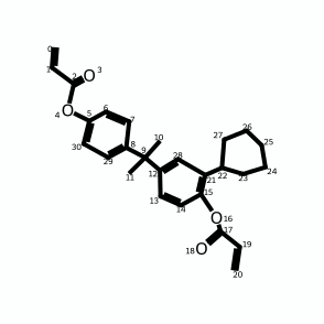 C=CC(=O)Oc1ccc(C(C)(C)c2ccc(OC(=O)C=C)c(C3CCCCC3)c2)cc1